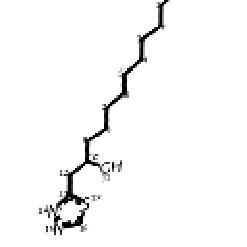 CCCCCCCCCCC(O)Cc1nncs1